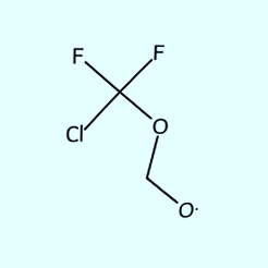 [O]COC(F)(F)Cl